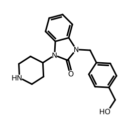 O=c1n(Cc2ccc(CO)cc2)c2ccccc2n1C1CCNCC1